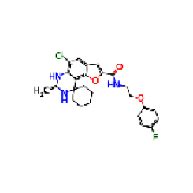 C=C1Nc2c(Cl)cc3cc(C(=O)NCCOc4ccc(F)cc4)oc3c2C2(CCCCC2)N1